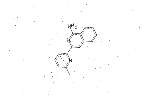 Cc1cccc(-c2cc3ccccc3c(N)n2)n1